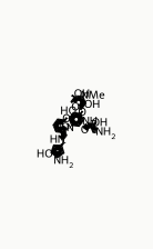 CN[C@@H]1[C@@H](O)[C@@H](O[C@@H]2[C@@H](O)[C@H](O[C@@H]3CCC=C(CNC[C@H]4C[C@@H](N)[C@@H](O)C4)O3)[C@@H](N)C[C@H]2NC(=O)[C@@H](O)CN)OC[C@]1(C)O